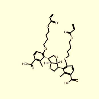 C=CC(=O)OCCCCOc1ccc(C(=O)O)c(C)c1[C@H]1CO[C@H]2[C@@H]1OC[C@H]2c1c(OCCCCOC(=O)C=C)ccc(C(=O)O)c1C